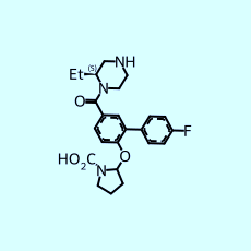 CC[C@H]1CNCCN1C(=O)c1ccc(OC2CCCN2C(=O)O)c(-c2ccc(F)cc2)c1